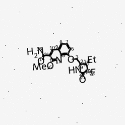 CC[C@H]1C(COc2cccc3cc(C(N)=O)c(OC)nc23)NC(=O)[C@H]1F